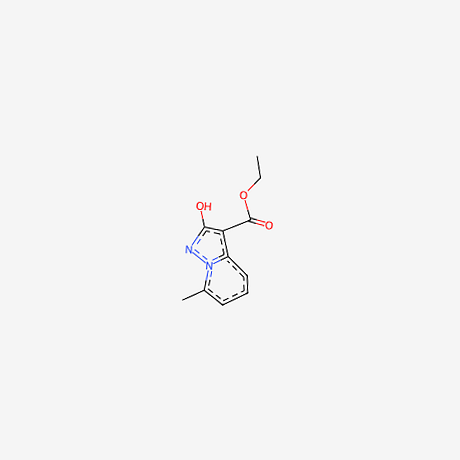 CCOC(=O)c1c(O)nn2c(C)cccc12